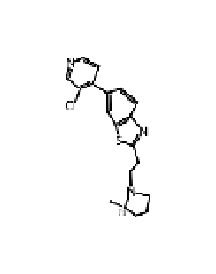 C[C@@H]1CCCN1CCc1nc2ccc(-c3ccncc3Cl)cc2s1